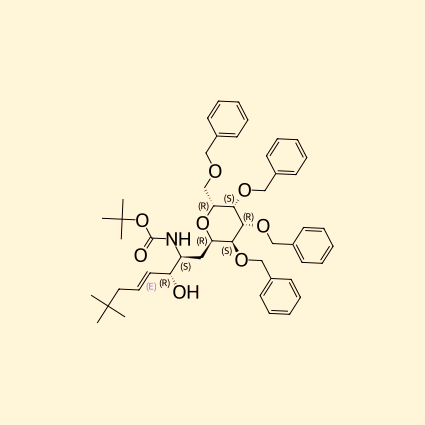 CC(C)(C)C/C=C/[C@@H](O)[C@H](C[C@H]1O[C@H](COCc2ccccc2)[C@H](OCc2ccccc2)[C@H](OCc2ccccc2)[C@H]1OCc1ccccc1)NC(=O)OC(C)(C)C